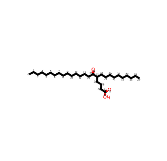 CCCCCCCCCCCCCCCC(=O)C(CCCCCCCCCC)CCCC(=O)O